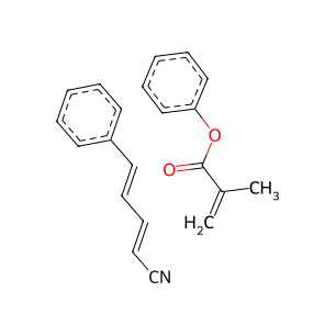 C=C(C)C(=O)Oc1ccccc1.N#CC=CC=Cc1ccccc1